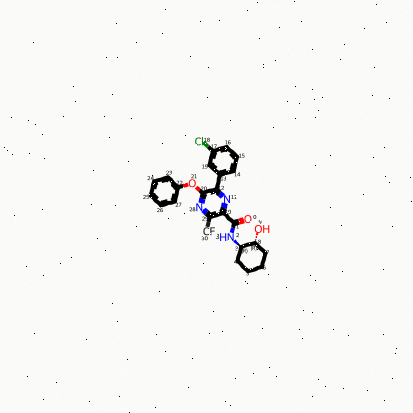 O=C(N[C@@H]1CCCC[C@H]1O)c1nc(-c2cccc(Cl)c2)c(Oc2ccccc2)nc1C(F)(F)F